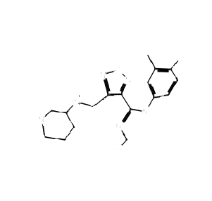 OC/N=C(\Nc1ccc(F)c(Cl)c1)c1nonc1CNC1CCCNC1